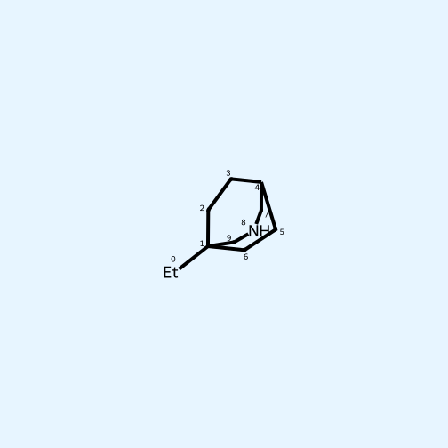 CCC12CCC(CC1)CNC2